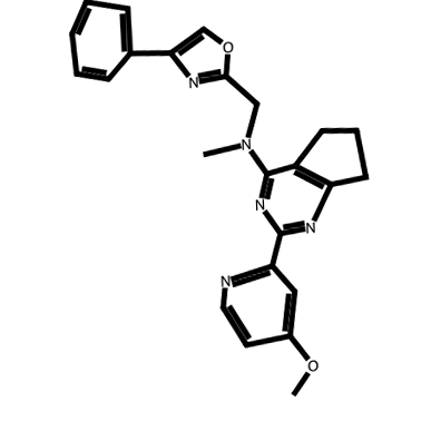 COc1ccnc(-c2nc3c(c(N(C)Cc4nc(-c5ccccc5)co4)n2)CCC3)c1